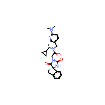 C[C@@H](C1CC1)N(Cc1ccc(N(C)C)nc1)C(=O)CN1C(=O)N[C@]2(CCc3ccccc32)C1=O